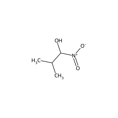 CC(C)C(O)[N+](=O)[O-]